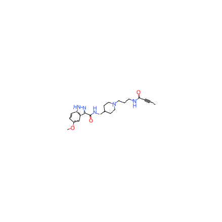 CC#CC(=O)NCCCN1CCC(CNC(=O)c2n[nH]c3ccc(OC)cc23)CC1